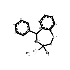 CCC1(C)CSc2ccccc2C(c2ccccc2)N1.Cl